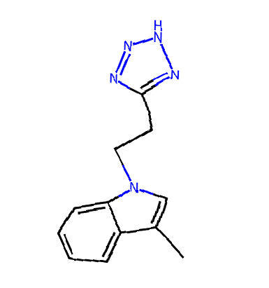 Cc1cn(CCc2nn[nH]n2)c2ccccc12